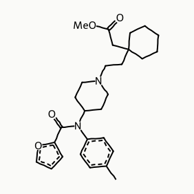 COC(=O)CC1(CCN2CCC(N(C(=O)c3ccco3)c3ccc(C)cc3)CC2)CCCCC1